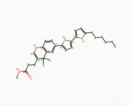 CCCCCCc1ccc(-c2ccc(-c3ccc4c(c3)C(C)(C)C(CCC(=O)OC)=CO4)s2)s1